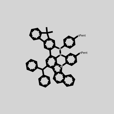 CCCCCc1ccc(N2B3c4cc(CCCCC)ccc4-n4c5c3c(cc(C(c3ccccc3)c3ccccc3)c5c3ccc5ccccc5c34)-c3cc4c(cc32)C(C)(C)c2ccccc2-4)cc1